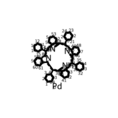 [Pd].c1ccc(-c2c3nc(c(-c4ccccc4)c4[nH]c(c(-c5ccccc5)c5nc(c(-c6ccccc6)c6[nH]c2c2ccccc62)-c2ccccc2-5)c2ccccc42)-c2ccccc2-3)cc1